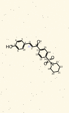 O=C(/C=C/c1ccc(O)cc1)c1ccc(S(=O)(=O)N2CCCCC2)cc1